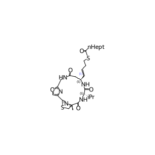 CCCCCCCC(=O)SCC/C=C/[C@@H]1CC(=O)NCc2nc(co2)C2=N[C@@](C)(CS2)C(=O)N[C@@H](C(C)C)C(=O)N1